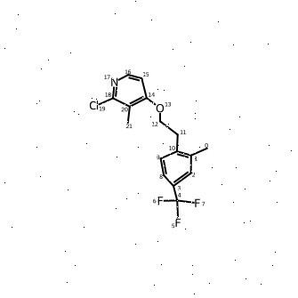 Cc1cc(C(F)(F)F)ccc1CCOc1ccnc(Cl)c1C